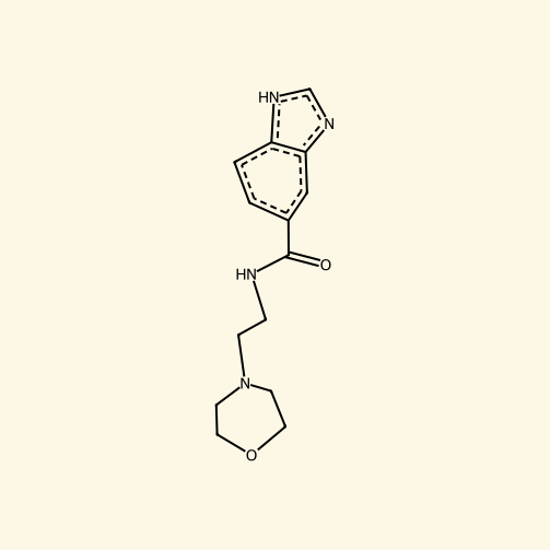 O=C(NCCN1CCOCC1)c1ccc2[nH]cnc2c1